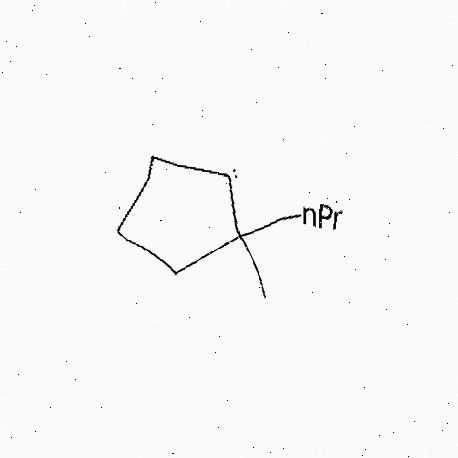 CCCC1(C)[C]CCC1